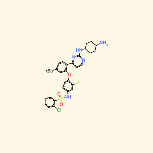 CC(C)(C)c1ccc(-c2ccnc(NC3CCC(N)CC3)n2)c(Oc2ccc(NS(=O)(=O)c3ccccc3Cl)cc2F)c1